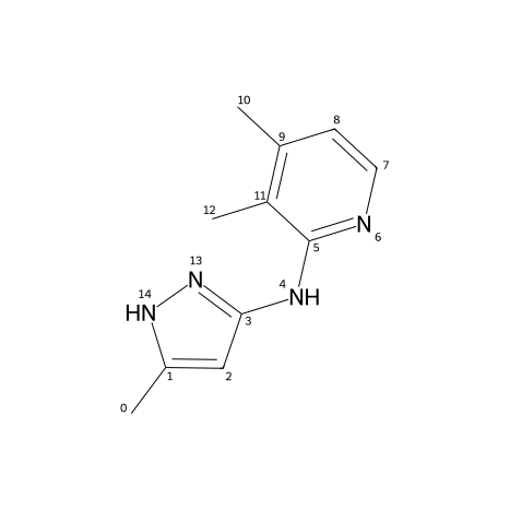 Cc1cc(Nc2nccc(C)c2C)n[nH]1